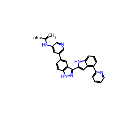 C=C(CCCC)Nc1cncc(-c2ccc3[nH]nc(-c4cc5c(-c6ccccn6)cccc5[nH]4)c3c2)c1